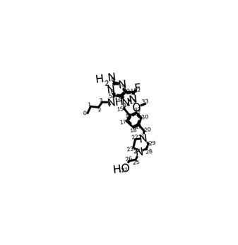 CCCCNc1nc(N)nc2c(F)nn(Cc3ccc(CN4CCN(CCO)CC4)cc3OC)c12